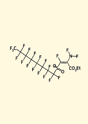 CCOC(=O)C(=C(F)S(=O)(=O)C(F)(F)C(F)(F)C(F)(F)C(F)(F)C(F)(F)C(F)(F)C(F)(F)C(F)(F)F)N(F)F